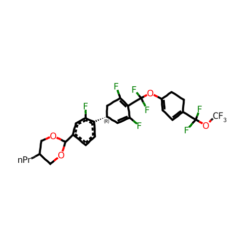 CCCC1COC(c2ccc([C@H]3C=C(F)C(C(F)(F)OC4=CC=C(C(F)(F)OC(F)(F)F)CC4)=C(F)C3)c(F)c2)OC1